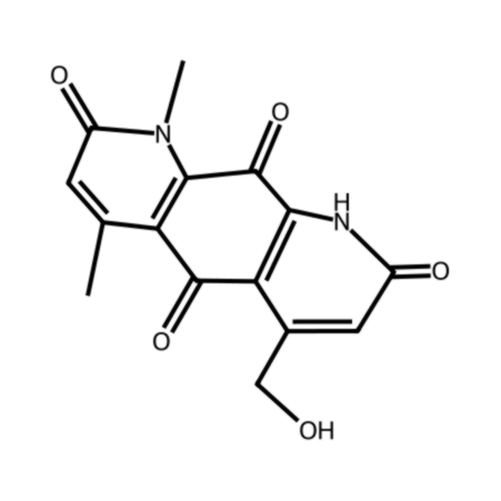 Cc1cc(=O)n(C)c2c1C(=O)c1c(CO)cc(=O)[nH]c1C2=O